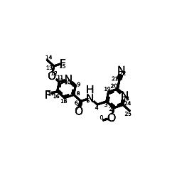 COc1c(CNC(=O)c2cnc(OC(C)F)c(F)c2)cc(C#N)nc1C